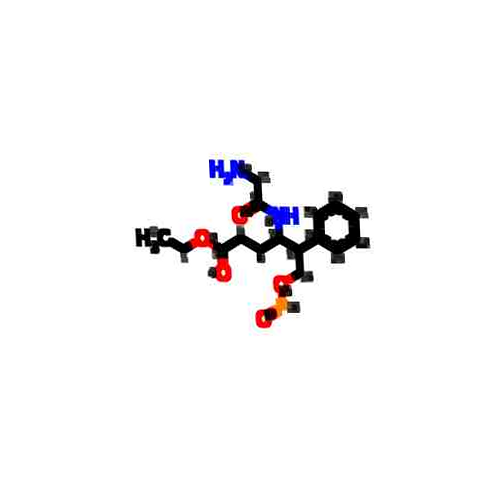 CCOC(=O)CCC(NC(=O)CN)C(COP=O)c1ccccc1